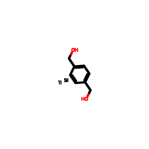 OCc1ccc(CO)cc1.[Si].[Ti]